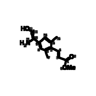 COC(=O)/C=C/c1c(C)cc(/C(N)=N/O)cc1C